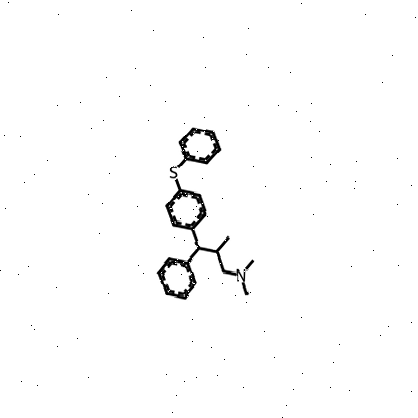 CC(CN(C)C)C(c1ccccc1)c1ccc(Sc2ccccc2)cc1